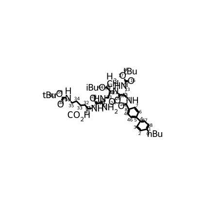 CCCCc1ccc(-c2ccc(C(=O)N[C@@H](CNC(=O)OC(C)(C)C)C(=O)N[C@H](C(=O)N[C@@H](N)C(=O)N[C@@H](CCCCNC(=O)OC(C)(C)C)C(=O)O)[C@@H](C)OCC(C)C)cc2)cc1